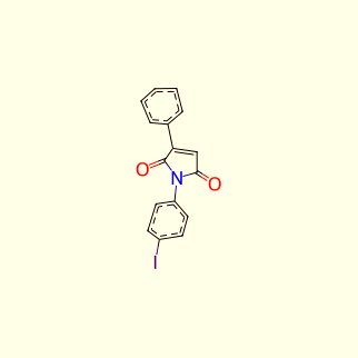 O=C1C=C(c2ccccc2)C(=O)N1c1ccc(I)cc1